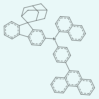 c1ccc2c(c1)-c1ccc(N(c3ccc(-c4cc5ccccc5c5ccccc45)cc3)c3cccc4ccccc34)cc1C21C2CC3CC(C2)CC1C3